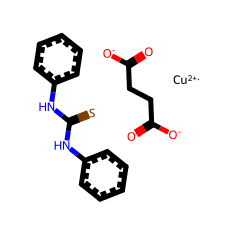 O=C([O-])CCC(=O)[O-].S=C(Nc1ccccc1)Nc1ccccc1.[Cu+2]